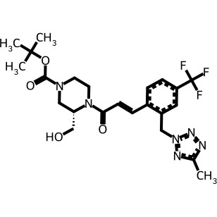 Cc1nnn(Cc2cc(C(F)(F)F)ccc2/C=C/C(=O)N2CCN(C(=O)OC(C)(C)C)C[C@H]2CO)n1